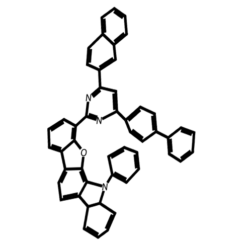 C1=CC2c3ccc4c(oc5c(-c6nc(-c7ccc(-c8ccccc8)cc7)cc(-c7ccc8ccccc8c7)n6)cccc54)c3N(c3ccccc3)C2C=C1